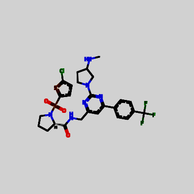 CNC1CCN(c2nc(CNC(=O)[C@@H]3CCCN3S(=O)(=O)c3ccc(Cl)s3)cc(-c3ccc(C(F)(F)F)cc3)n2)C1